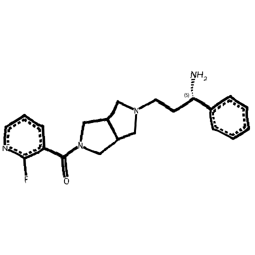 N[C@@H](CCN1CC2CN(C(=O)c3cccnc3F)CC2C1)c1ccccc1